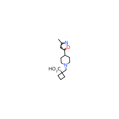 Cc1cc(C2CCN(CC3(C(=O)O)CCC3)CC2)on1